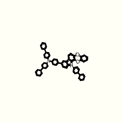 c1ccc(-c2ccc(N(c3ccc(-c4ccccc4)cc3)c3ccc(-c4ccc5c(c4)c4ccc6c(c4n5-c4ccc(-c5ccccc5)cc4)Oc4ccccc4O6)cc3)cc2)cc1